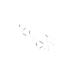 C[C@H](Nc1nccc(N2C(=O)OC[C@]2(C)C2CC2)n1)c1ccc(C=O)c(F)c1